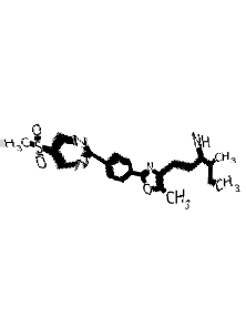 CCC(C)C(=N)CCc1nc(-c2ccc(-c3ncc(S(C)(=O)=O)cn3)cc2)oc1C